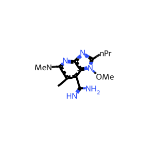 CCCc1nc2nc(NC)c(C)c(C(=N)N)c2n1OC